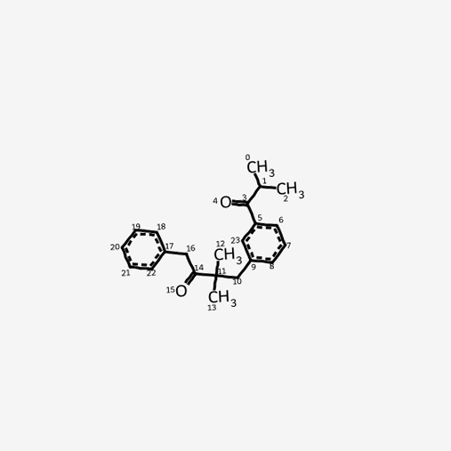 CC(C)C(=O)c1cccc(CC(C)(C)C(=O)Cc2ccccc2)c1